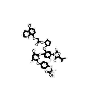 CC(C)=C1OC(=O)N(c2cc(OC3CCCC3)c(Cl)cc2F)C1=O.C[C@@H](Oc1ccc(Oc2ncc(Cl)cc2F)cc1)C(=O)O.O=C(O)COc1ccc(Cl)c2cccnc12